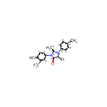 C=C1N(c2ccc(C#N)c(C(F)(F)F)c2)C(=O)C(CC)N1c1ccc(C)cc1